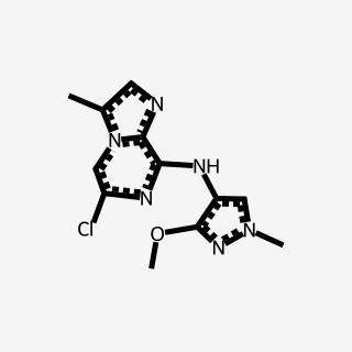 COc1nn(C)cc1Nc1nc(Cl)cn2c(C)cnc12